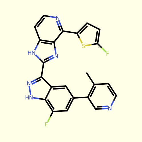 Cc1ccncc1-c1cc(F)c2[nH]nc(-c3nc4c(-c5ccc(F)s5)nccc4[nH]3)c2c1